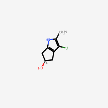 O=C(O)c1[nH]c2c(c1Cl)C[C@@H](O)C2